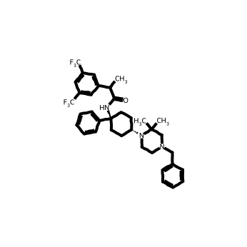 CC(C(=O)N[C@]1(c2ccccc2)CC[C@@H](N2CCN(Cc3ccccc3)CC2(C)C)CC1)c1cc(C(F)(F)F)cc(C(F)(F)F)c1